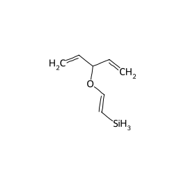 C=CC(C=C)OC=C[SiH3]